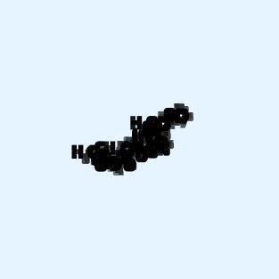 Cc1cc(Oc2ccccc2)ccc1N1C(=O)Nc2c(C(=O)N[C@@H]3CCCN(C(=O)[C@H]4CCN(C(=O)OC(C)(C)C)C4)C3)sc3nccc1c23